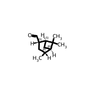 C[C@@H]1C[C@H](C=O)[C@@H]2C[C@H]1C2(C)C